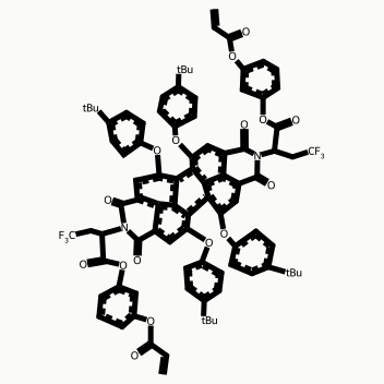 C=CC(=O)Oc1cccc(OC(=O)C(CC(F)(F)F)N2C(=O)c3cc(Oc4ccc(C(C)(C)C)cc4)c4c5c(Oc6ccc(C(C)(C)C)cc6)cc6c7c(cc(Oc8ccc(C(C)(C)C)cc8)c(c8c(Oc9ccc(C(C)(C)C)cc9)cc(c3c48)C2=O)c75)C(=O)N(C(CC(F)(F)F)C(=O)Oc2cccc(OC(=O)C=C)c2)C6=O)c1